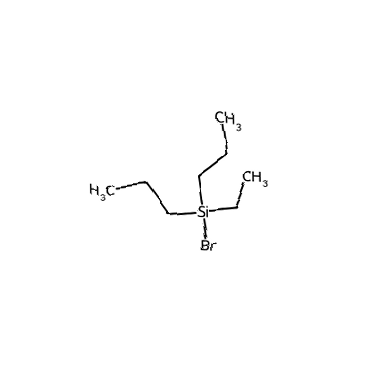 CCC[Si](Br)(CC)CCC